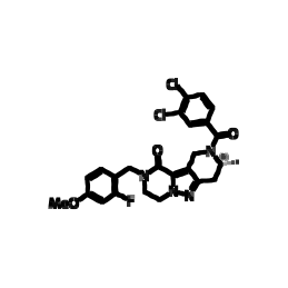 COc1ccc(CN2CCn3nc4c(c3C2=O)CN(C(=O)c2ccc(Cl)c(Cl)c2)[C@H](C)C4)c(F)c1